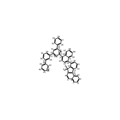 CC1(C)c2ccc3ccccc3c2-c2cccc(-c3ccc(-c4nc(-c5ccccc5)cc(-c5cccc(-c6cccnc6)c5)n4)c4ccccc34)c21